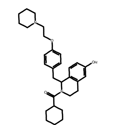 O=C(C1CCCCC1)N1CCc2cc(O)ccc2C1Cc1ccc(OCCN2CCCCC2)cc1